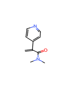 C=C(C(=O)N(C)C)c1ccncc1